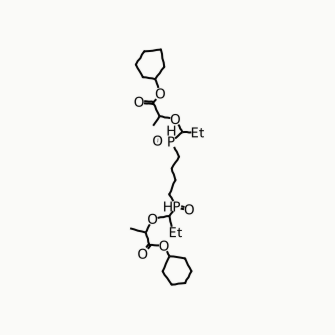 CCC(OC(C)C(=O)OC1CCCCC1)[PH](=O)CCCC[PH](=O)C(CC)OC(C)C(=O)OC1CCCCC1